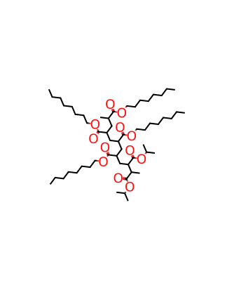 CCCCCCCCOC(=O)C(C)CC(CC(CC(CC(C(=O)OC(C)C)C(C)C(=O)OC(C)C)C(=O)OCCCCCCCC)C(=O)OCCCCCCCC)C(=O)OCCCCCCCC